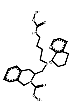 CC(C)(C)OC(=O)NCCCCN(CC1Cc2ccccc2CN1C(=O)OC(C)(C)C)[C@H]1CCCc2cccnc21